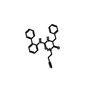 N#CCCNC(=O)C(Cc1ccccc1)NC(=O)Nc1ccccc1-c1ccccc1